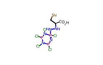 O=C(O)[C@H](CS)NNP1(Cl)=NP(Cl)N(Cl)P(Cl)N1Cl